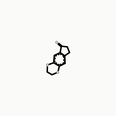 O=C1CCc2cc3c(cc21)OCCO3